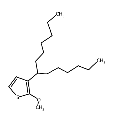 CCCCCCC(CCCCCC)c1ccsc1OC